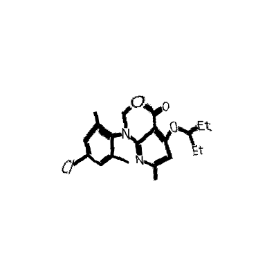 CCC(CC)Oc1cc(C)nc2c1C(=O)OCN2c1c(C)cc(Cl)cc1C